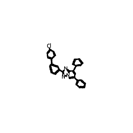 Clc1ccc(-c2cccc(-c3nc4c(-c5ccccc5)cc(-c5ccccc5)cn4n3)c2)cc1